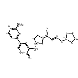 CNc1cc(-c2c[nH]c(=O)c(N[C@@H]3CCN(C(=O)C=CCN4CCCC4)C3)c2)ccn1